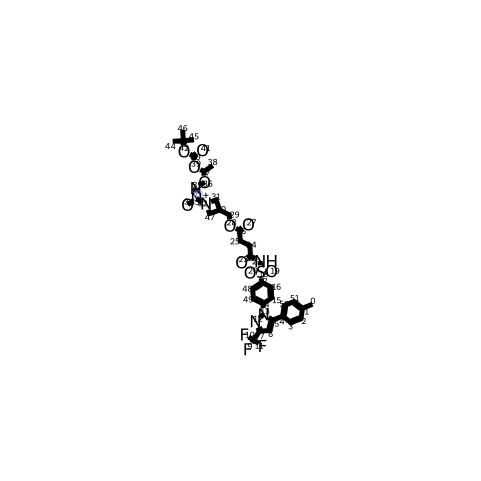 Cc1ccc(-c2cc(C(F)(F)F)nn2-c2ccc(S(=O)(=O)NC(=O)CCC(=O)OCC3CN(/[N+]([O-])=N\OC(C)OC(=O)OC(C)(C)C)C3)cc2)cc1